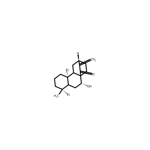 C=C1C(=O)C23CC[C@H]1CC2[C@]1(CC)CCC[C@@](C)(CC)C1C[C@H]3O